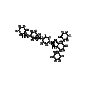 Nc1ccc(-n2nc3c(-c4ccccc4)ccc(-c4ccccc4)c3n2)cc1.c1ccc(Nc2ccccc2)cc1